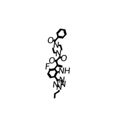 CCCn1nnc(-c2ccc(F)c3c(C(=O)C(=O)N4CCN(C(=O)c5ccccc5)CC4)c[nH]c23)n1